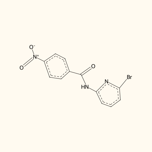 O=C(Nc1cccc(Br)n1)c1ccc([N+](=O)[O-])cc1